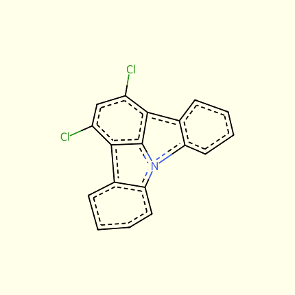 Clc1cc(Cl)c2c3ccccc3n3c4ccccc4c1c23